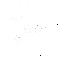 COC(=O)c1ccc(NC(=O)C(Cc2c[nH]c3ccccc23)NC(=O)C(CC(=O)NO)CC(C)C)cc1